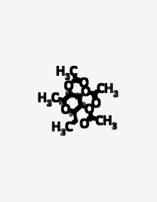 CC[C@H]1O[C@@H](C)[C@@H](OC(C)=O)[C@@H](OC(C)=O)[C@@H]1OC(C)=O